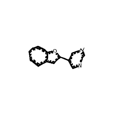 c1ccc2oc(-c3cncnc3)cc2c1